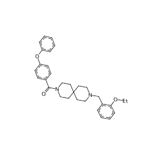 CCOc1ccccc1CN1CCC2(CC1)CCN(C(=O)c1ccc(Oc3ccccc3)cc1)CC2